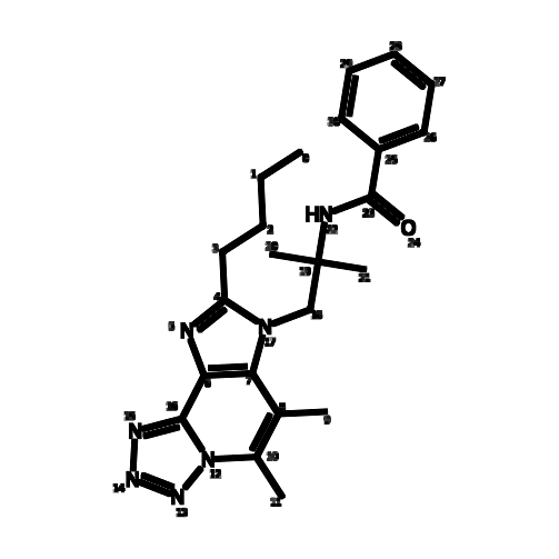 CCCCc1nc2c(c(C)c(C)n3nnnc23)n1CC(C)(C)NC(=O)c1ccccc1